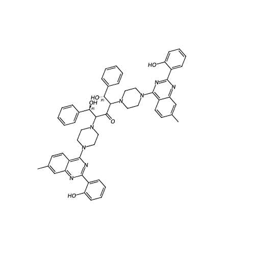 Cc1ccc2c(N3CCN(C(C(=O)C([C@H](O)c4ccccc4)N4CCN(c5nc(-c6ccccc6O)nc6cc(C)ccc56)CC4)[C@H](O)c4ccccc4)CC3)nc(-c3ccccc3O)nc2c1